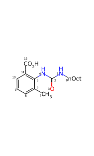 CCCCCCCCNC(=O)Nc1c(C)cccc1C(=O)O